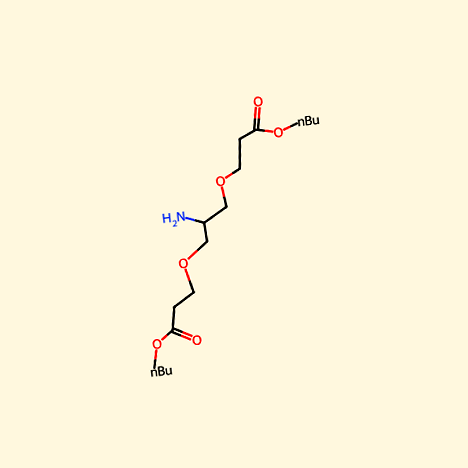 CCCCOC(=O)CCOCC(N)COCCC(=O)OCCCC